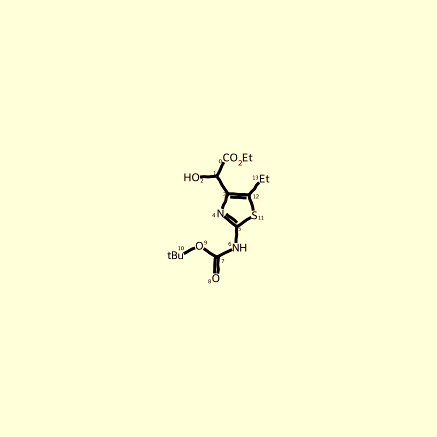 CCOC(=O)C(O)c1nc(NC(=O)OC(C)(C)C)sc1CC